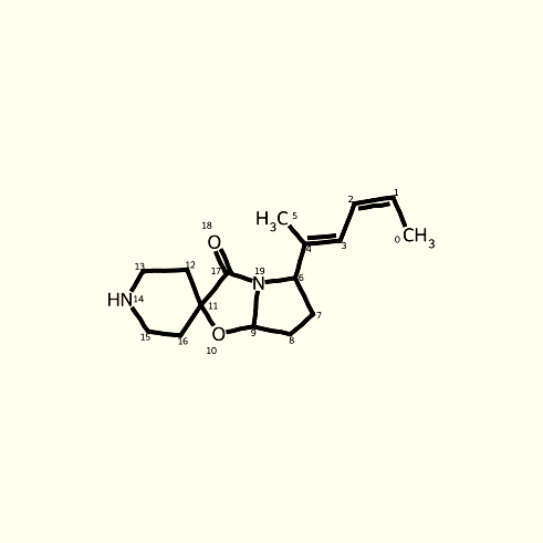 C/C=C\C=C(/C)C1CCC2OC3(CCNCC3)C(=O)N21